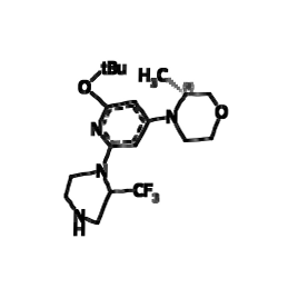 C[C@@H]1COCCN1c1cc(OC(C)(C)C)nc(N2CCNCC2C(F)(F)F)c1